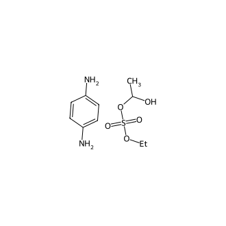 CCOS(=O)(=O)OC(C)O.Nc1ccc(N)cc1